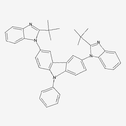 CC(C)(C)c1nc2ccccc2n1-c1ccc2c(c1)c1cc(-n3c(C(C)(C)C)nc4ccccc43)ccc1n2-c1ccccc1